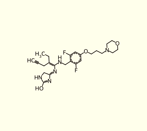 C#CC/C(CC)=C(\N=C1/CNC(O)=N1)NCc1c(F)cc(OCCCN2CCOCC2)cc1F